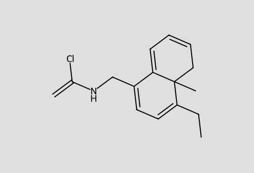 C=C(Cl)NCC1=CC=C(CC)C2(C)CC=CC=C12